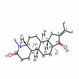 CC(C)=C1C[C@H]2[C@@H]3CC[C@H]4N(C)C(=O)CC[C@]4(C)[C@H]3CC[C@]2(C)C1=O